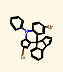 Brc1ccc2c(c1)C1(c3ccccc3C3C=CC=CC31)c1cc(Br)ccc1N2c1ccccc1